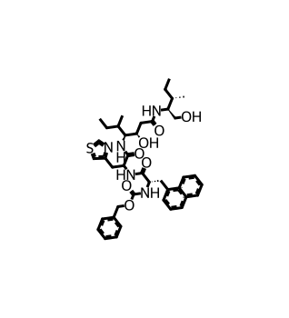 CCC(C)[C@H](NC(=O)C(Cc1cscn1)NC(=O)[C@H](Cc1cccc2ccccc12)NC(=O)OCc1ccccc1)[C@@H](O)CC(=O)N[C@H](CO)[C@@H](C)CC